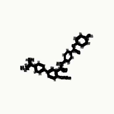 COc1ccc(-c2ccc(C(=N)N)cc2)cc1C(=O)NC1CCC(C(=O)OC2CCN(C)CC2)CC1